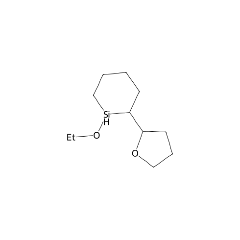 CCO[SiH]1CCCCC1C1CCCO1